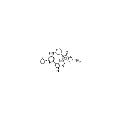 Nc1nc(C(=O)NC2CCCC(Nc3cc(-c4cccs4)nc(-c4c[nH]c5ncc(Cl)nc45)n3)C2)cs1